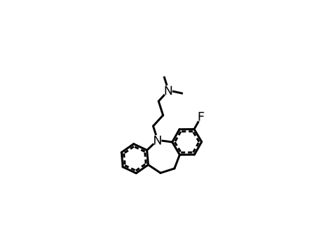 CN(C)CCCN1c2ccccc2CCc2ccc(F)cc21